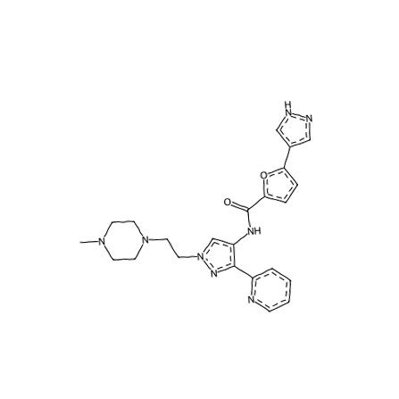 CN1CCN(CCn2cc(NC(=O)c3ccc(-c4cn[nH]c4)o3)c(-c3ccccn3)n2)CC1